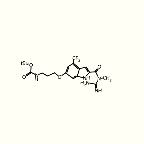 CN(C(=N)N)C(=O)c1cc2c(C(F)(F)F)cc(OCCCNC(=O)OC(C)(C)C)cc2[nH]1